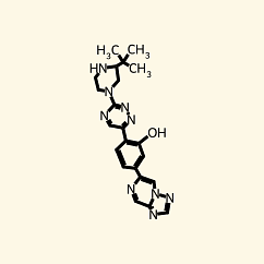 CC(C)(C)C1CN(c2ncc(-c3ccc(-c4cn5ncnc5cn4)cc3O)nn2)CCN1